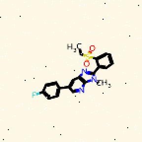 CCS(=O)(=O)c1ccccc1-c1nc2cc(-c3ccc(F)cc3)cnc2n1C